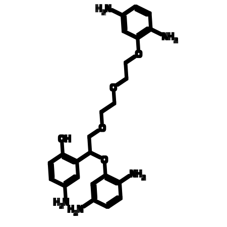 Nc1ccc(N)c(OCCOCCOCC(Oc2cc(N)ccc2N)c2cc(N)ccc2O)c1